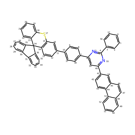 c1ccc(-c2nc(-c3ccc(-c4ccc5c(c4)Sc4ccccc4C54c5ccccc5-c5ccccc54)cc3)cc(-c3ccc4c(ccc5ccccc54)c3)n2)cc1